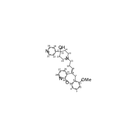 COc1cccc2c1C/C(=C/CCN1CCC(O)(c3ccncc3)CC1)c1cccnc1O2